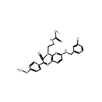 COc1ccc(-c2nc3ccc(NCc4cccc(F)c4)nc3n(CCNC(C)=O)c2=O)cc1